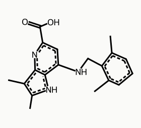 Cc1cccc(C)c1CNc1cc(C(=O)O)nc2c(C)c(C)[nH]c12